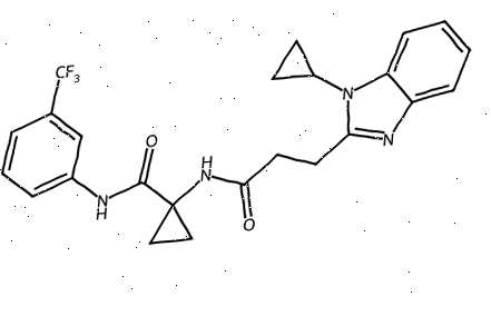 O=C(CCc1nc2ccccc2n1C1CC1)NC1(C(=O)Nc2cccc(C(F)(F)F)c2)CC1